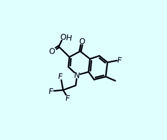 Cc1cc2c(cc1F)c(=O)c(C(=O)O)cn2CC(F)(F)F